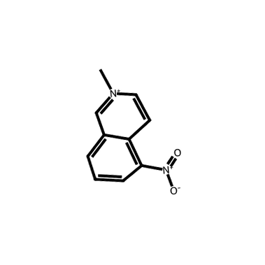 C[n+]1ccc2c([N+](=O)[O-])cccc2c1